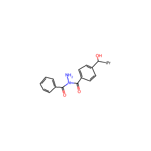 CC(C)C(O)c1ccc(C(=O)N(N)C(=O)c2ccccc2)cc1